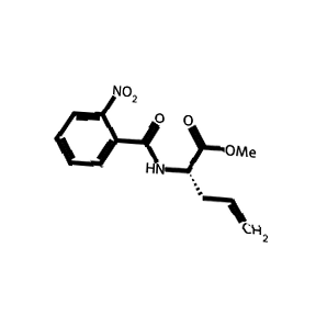 C=CC[C@H](NC(=O)c1ccccc1[N+](=O)[O-])C(=O)OC